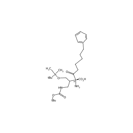 CC(C)(C)OC(=O)NCC(CO[Si](C)(C)C(C)(C)C)[C@](N)(C(=O)O)C(=O)CCCCCc1ccccc1